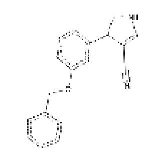 N#CC1=CNCC1c1cccc(OCc2ccccc2)c1